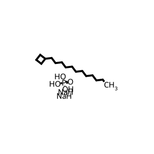 CCCCCCCCCCCCC1CCC1.O=P(O)(O)O.[NaH].[NaH]